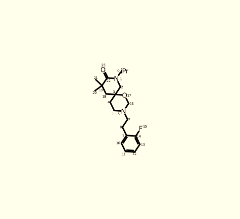 CC(C)N1CC2(CCN(CCc3ccccc3F)CO2)CC(C)(C)C1=O